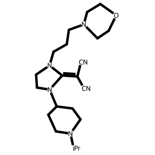 CC(C)N1CCC(N2CCN(CCCN3CCOCC3)C2=C(C#N)C#N)CC1